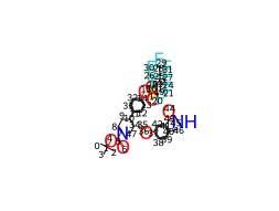 CC(C)(C)OC(=O)N1CC[C@@H](c2ccc(OS(=O)(=O)C(F)(F)C(F)(F)C(F)(F)C(F)(F)F)cc2)[C@H](COc2ccc3c(c2)C(=O)NC3)C1